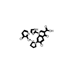 O=C(O)c1cn(-c2ncc[nH]2)c2cc(N3CCC[C@@H]3COc3ncccc3Cl)c(Cl)cc2c1=O